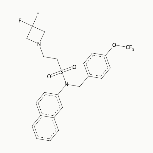 O=S(=O)(CCN1CC(F)(F)C1)N(Cc1ccc(OC(F)(F)F)cc1)c1ccc2ccccc2c1